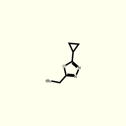 CC(C)(C)Cc1nnc(C2CC2)o1